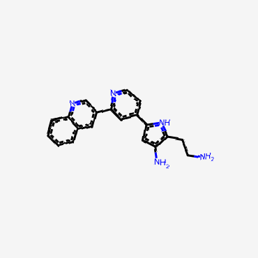 NCCc1[nH]c(-c2ccnc(-c3cnc4ccccc4c3)c2)cc1N